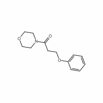 O=C(CCOc1[c]cccc1)N1CCOCC1